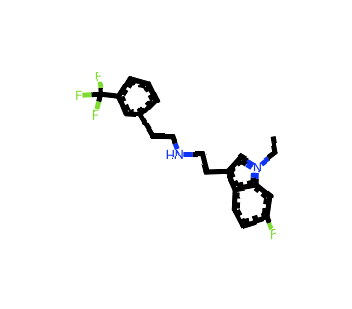 CCn1cc(CCNCCc2cccc(C(F)(F)F)c2)c2ccc(F)cc21